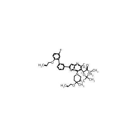 C=CCOc1ccc(F)cc1-c1cccc(-c2cc3nc(C)c([C@H](OC(C)(C)C)C(=O)OC)c(N4CCC(C)(OCC=C)CC4)n3n2)c1